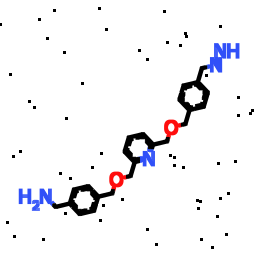 N=NCc1ccc(COCc2cccc(COCc3ccc(CN)cc3)n2)cc1